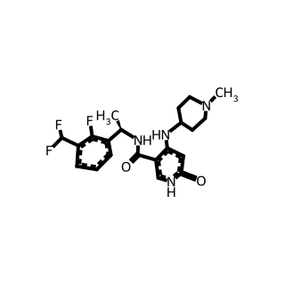 C[C@@H](NC(=O)c1c[nH]c(=O)cc1NC1CCN(C)CC1)c1cccc(C(F)F)c1F